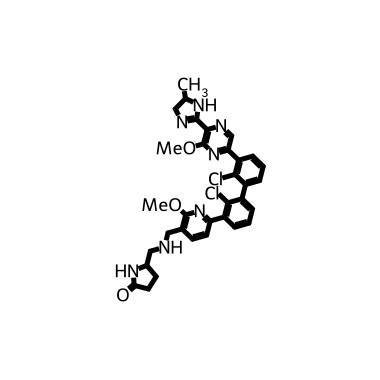 COc1nc(-c2cccc(-c3cccc(-c4cnc(C5=NCC(C)N5)c(OC)n4)c3Cl)c2Cl)ccc1CNCC1CCC(=O)N1